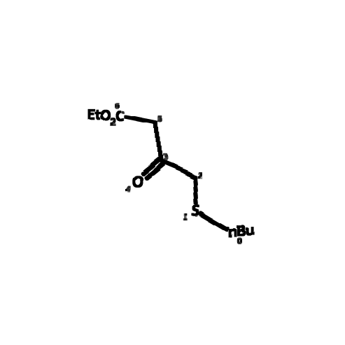 CCCCSCC(=O)CC(=O)OCC